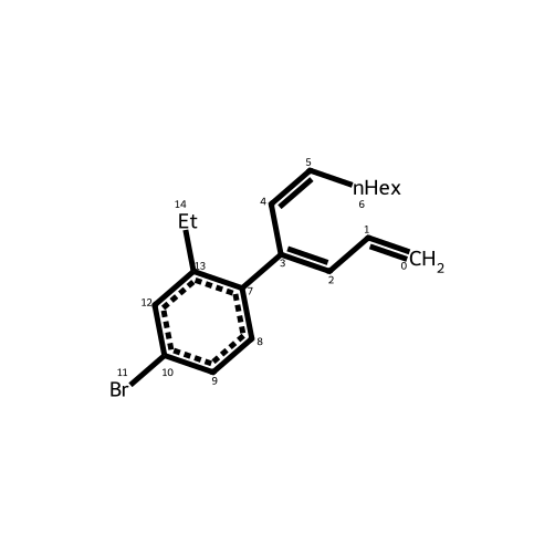 C=C/C=C(\C=C/CCCCCC)c1ccc(Br)cc1CC